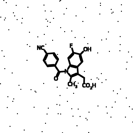 Cc1c(CC(=O)O)c2cc(O)c(F)cc2n1C(=O)c1ccc(C#N)cc1